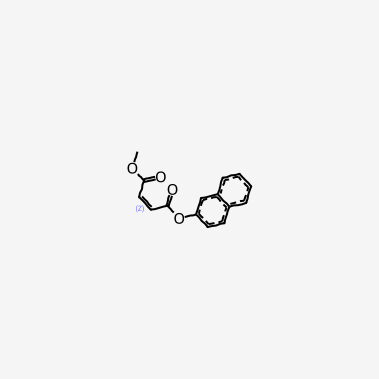 COC(=O)/C=C\C(=O)Oc1ccc2ccccc2c1